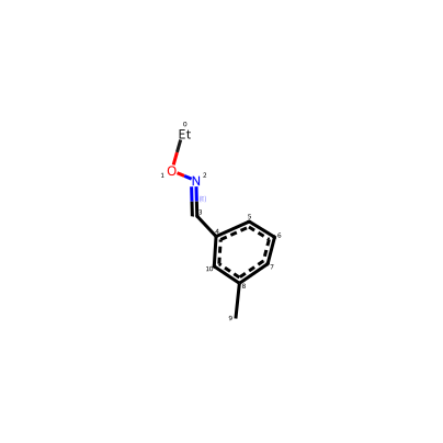 CCO/N=[C]/c1cccc(C)c1